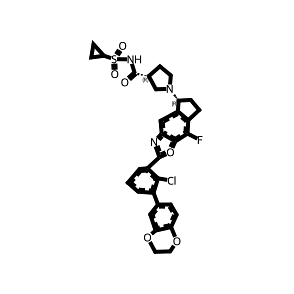 O=C(NS(=O)(=O)C1CC1)[C@@H]1CCN([C@@H]2CCc3c2cc2nc(-c4cccc(-c5ccc6c(c5)OCCO6)c4Cl)oc2c3F)C1